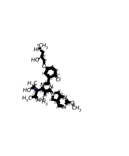 CNC[C@@H](O)COc1ccc(Cl)c(-c2nc(/C(C(C)=N)=C(\C)O)c(C)c(N3Cc4cnc(OC)nc4C3)n2)c1